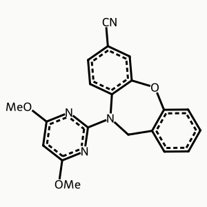 COc1cc(OC)nc(N2Cc3ccccc3Oc3cc(C#N)ccc32)n1